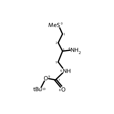 CSCCC(N)CNC(=O)OC(C)(C)C